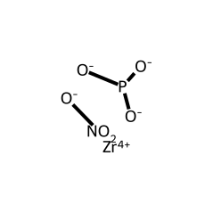 O=[N+]([O-])[O-].[O-]P([O-])[O-].[Zr+4]